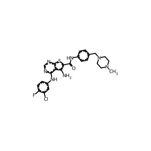 CN1CCN(Cc2ccc(NC(=O)c3sc4ncnc(Nc5ccc(F)c(Cl)c5)c4c3N)cc2)CC1